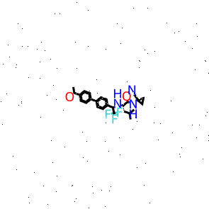 CC(=O)c1ccc(-c2ccc([C@H](N[C@@H](CC(C)C)C(=O)NC3(C#N)CC3)C(F)(F)F)cc2)cc1